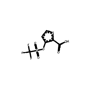 O=C(O)c1sccc1OS(=O)(=O)C(F)(F)F